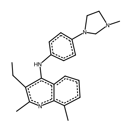 CCc1c(C)nc2c(C)cccc2c1Nc1ccc(N2CCN(C)C2)cc1